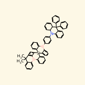 CC1(C)c2ccccc2B2c3ccccc3[Si]3(c4ccccc4B(c4ccc(N5c6ccccc6C(c6ccccc6)(c6ccccc6)C6C=CC=CC65)cc4)c4ccccc43)c3cccc1c32